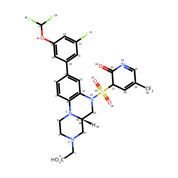 O=C(O)CN1CCN2c3ccc(-c4cc(F)cc(OC(F)F)c4)cc3N(S(=O)(=O)C3C=C(C(F)(F)F)C=NC3=O)C[C@@H]2C1